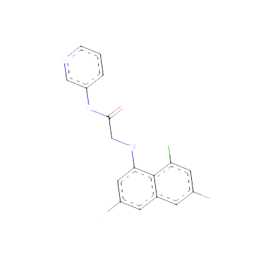 O=C(CNc1cc(C(=O)O)cc2cc(Cl)cc(Cl)c12)Nc1cccnc1